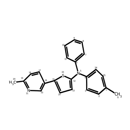 Cc1ccc(N(c2ccccc2)c2ccc(-c3ccc(C)nc3)s2)cc1